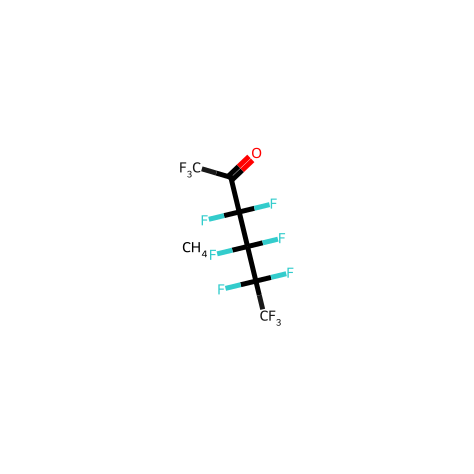 C.O=C(C(F)(F)F)C(F)(F)C(F)(F)C(F)(F)C(F)(F)F